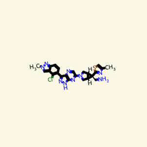 Cc1csc([C@]2(CN)[C@@H]3CN(c4cnc5c(-c6ccc7nn(C)cc7c6Cl)n[nH]c5n4)C[C@@H]32)n1